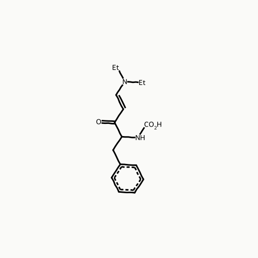 CCN(C=CC(=O)C(Cc1ccccc1)NC(=O)O)CC